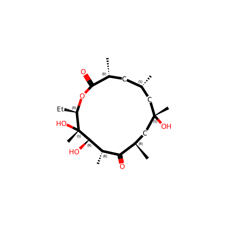 CC[C@H]1OC(=O)[C@H](C)C[C@H](C)C[C@](C)(O)C[C@@H](C)C(=O)[C@H](C)[C@@H](O)[C@]1(C)O